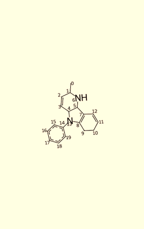 CC1C=CC2C(N1)C1=C(CCC=C1)N2c1ccccc1